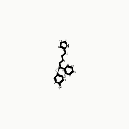 Fc1ccc(OC(CCCCC2=CCC=N2)c2ccccc2)cc1